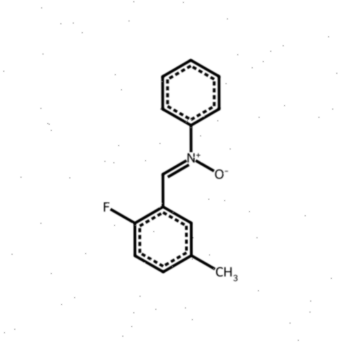 Cc1ccc(F)c(C=[N+]([O-])c2ccccc2)c1